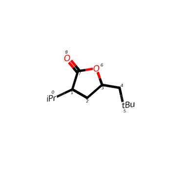 CC(C)C1CC(CC(C)(C)C)OC1=O